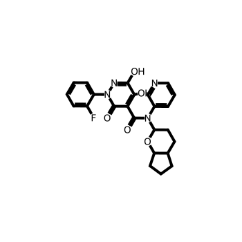 O=C(c1c(O)c(O)nn(-c2ccccc2F)c1=O)N(c1cccnc1)C1CCC2CCCC2O1